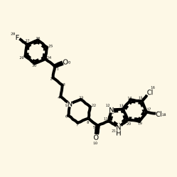 O=C(CCCN1CCC(C(=O)c2nc3cc(Cl)c(Cl)cc3[nH]2)CC1)c1ccc(F)cc1